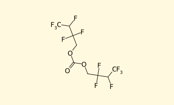 O=C(OCC(F)(F)C(F)C(F)(F)F)OCC(F)(F)C(F)C(F)(F)F